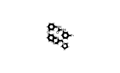 O=C(Nc1cccc(F)c1)Nc1cccc(Oc2ccc3ncc(CN4CCCC4)nc3c2)c1